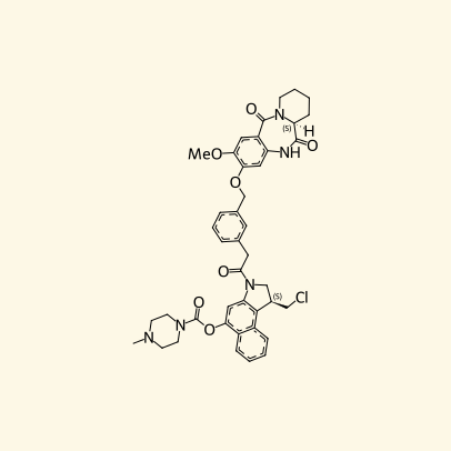 COc1cc2c(cc1OCc1cccc(CC(=O)N3C[C@@H](CCl)c4c3cc(OC(=O)N3CCN(C)CC3)c3ccccc43)c1)NC(=O)[C@@H]1CCCCN1C2=O